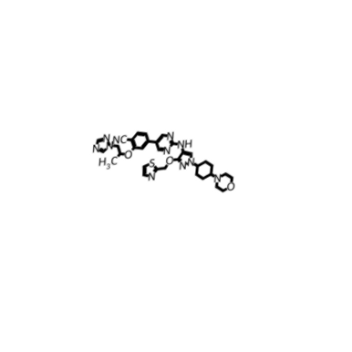 CC(Cn1cncn1)Oc1cc(-c2cnc(Nc3cn(C4CCC(N5CCOCC5)CC4)nc3OCc3nccs3)nc2)ccc1C#N